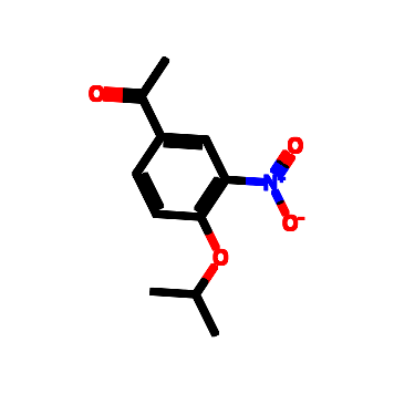 C[C](C)Oc1ccc(C(C)=O)cc1[N+](=O)[O-]